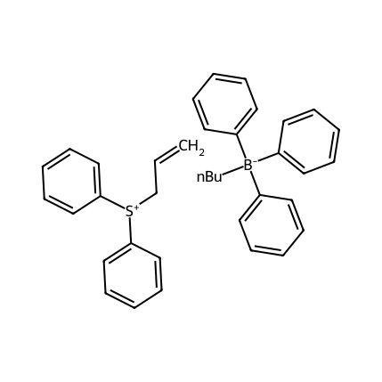 C=CC[S+](c1ccccc1)c1ccccc1.CCCC[B-](c1ccccc1)(c1ccccc1)c1ccccc1